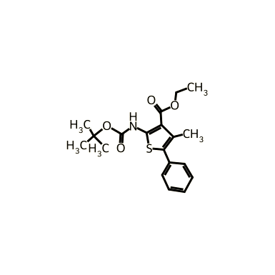 CCOC(=O)c1c(NC(=O)OC(C)(C)C)sc(-c2ccccc2)c1C